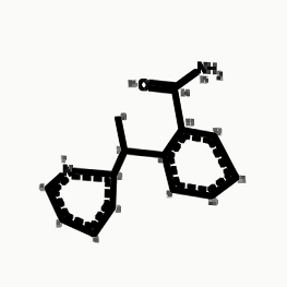 CC(c1ccccn1)c1ccccc1C(N)=O